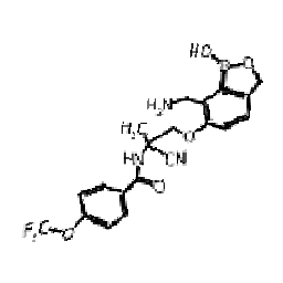 CC(C#N)(COc1ccc2c(c1CN)B(O)OC2)NC(=O)c1ccc(OC(F)(F)F)cc1